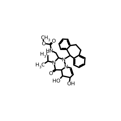 COC(=O)NCC1N(C(C)C)C(=O)C2C(O)C(O)C=CN2N1C1c2ccccc2CCc2ccccc21